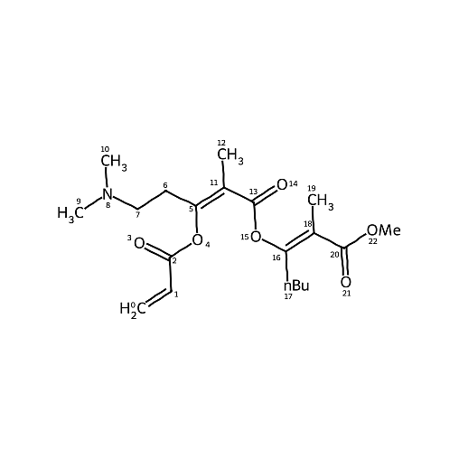 C=CC(=O)OC(CCN(C)C)=C(C)C(=O)OC(CCCC)=C(C)C(=O)OC